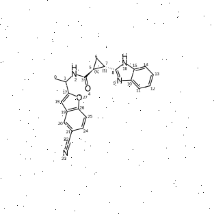 CC(NC(=O)[C@H]1C[C@@H]1c1nc2ccccc2[nH]1)c1cc2cc(C#N)ccc2o1